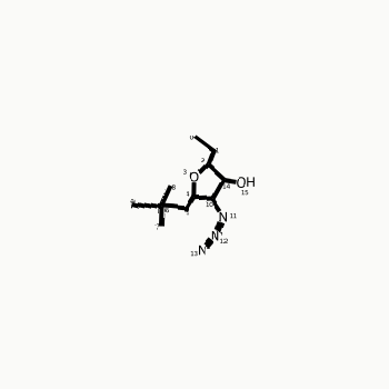 CCC1OC(CC(C)(C)C)C(N=[N+]=[N-])C1O